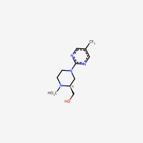 O=C(O)N1CCN(c2ncc(C(F)(F)F)cn2)C[C@H]1CO